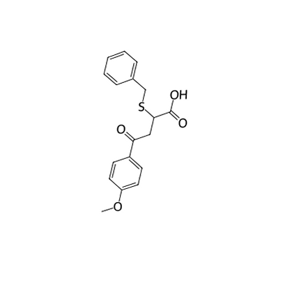 COc1ccc(C(=O)CC(SCc2ccccc2)C(=O)O)cc1